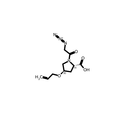 C=CCO[C@@H]1C[C@@H](C(=O)O)N(C(=O)CN=[N+]=[N-])C1